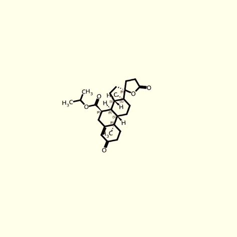 CC(C)OC(=O)[C@@H]1CC2=CC(=O)CC[C@]2(C)[C@H]2CC[C@@]3(C)[C@@H](CC[C@@]34CCC(=O)O4)[C@H]12